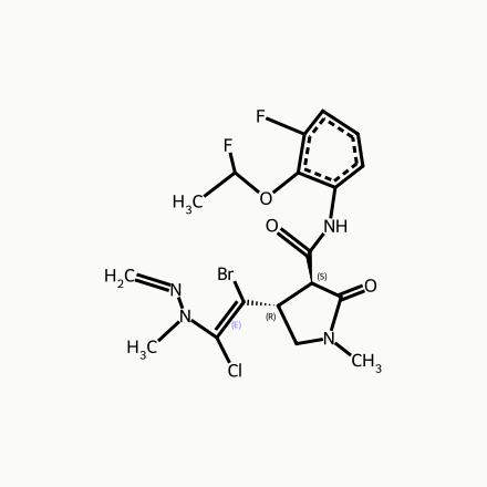 C=NN(C)/C(Cl)=C(\Br)[C@H]1CN(C)C(=O)[C@@H]1C(=O)Nc1cccc(F)c1OC(C)F